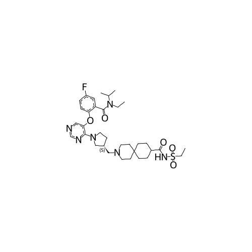 CCN(C(=O)c1cc(F)ccc1Oc1cncnc1N1CC[C@@H](CN2CCC3(CCC(C(=O)NS(=O)(=O)CC)CC3)CC2)C1)C(C)C